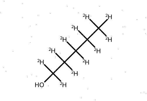 [2H]C([2H])([2H])C([2H])([2H])C([2H])([2H])C([2H])([2H])C([2H])([2H])O